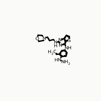 C=Cc1cc(Nc2nc(NCCCN3CCOCC3)nc3ccsc23)ccc1NN